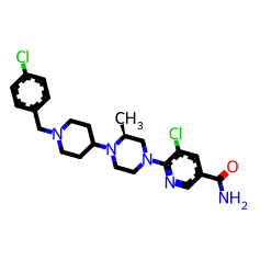 C[C@H]1CN(c2ncc(C(N)=O)cc2Cl)CCN1C1CCN(Cc2ccc(Cl)cc2)CC1